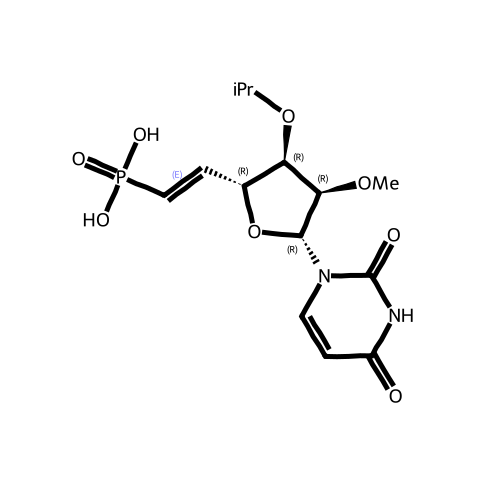 CO[C@@H]1[C@H](OC(C)C)[C@@H](/C=C/P(=O)(O)O)O[C@H]1n1ccc(=O)[nH]c1=O